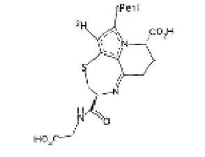 [2H]c1c2c3n(c1CCCCC)[C@H](C(=O)O)CCC3=N[C@@H](C(=O)NCC(=O)O)CS2